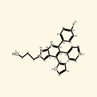 OCCCn1cc2c(-c3ccco3)c(-c3ccncc3)c(-c3ccc(F)cc3)nc2n1